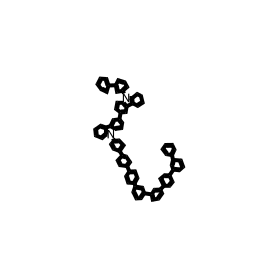 C1=Cc2c(n(-c3cccc(-c4ccccc4)c3)c3ccc(-c4ccc5c(c4)c4ccccc4n5-c4ccc(-c5ccc(-c6ccc(-c7cccc(-c8cccc(-c9ccc(-c%10cccc(-c%11ccccc%11)c%10)cc9)c8)c7)cc6)cc5)cc4)cc23)CC1